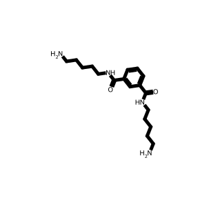 NCCCCCNC(=O)c1cccc(C(=O)NCCCCCN)c1